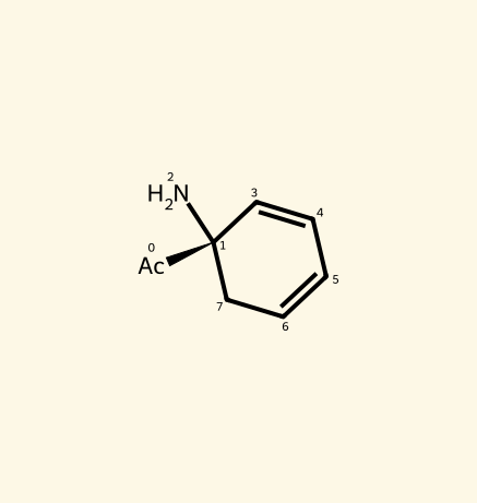 CC(=O)[C@@]1(N)C=CC=CC1